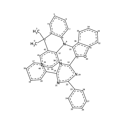 CC1(C)c2ccccc2N(c2c(-c3nc(-c4ccccc4)nc(-c4ccccc4)n3)oc3ccccc23)c2ccccc21